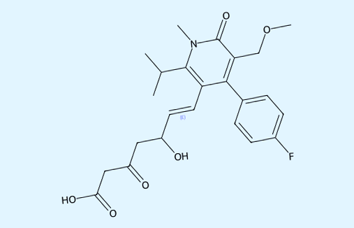 COCc1c(-c2ccc(F)cc2)c(/C=C/C(O)CC(=O)CC(=O)O)c(C(C)C)n(C)c1=O